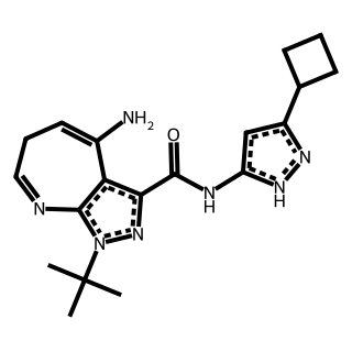 CC(C)(C)n1nc(C(=O)Nc2cc(C3CCC3)n[nH]2)c2c1N=CCC=C2N